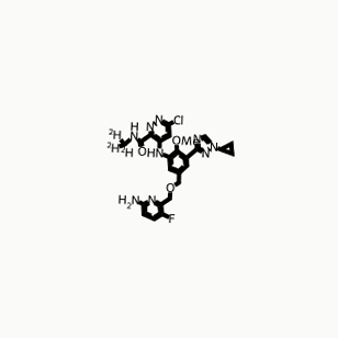 [2H]C([2H])([2H])NC(=O)c1nnc(Cl)cc1Nc1cc(COCc2nc(N)ccc2F)cc(-c2ncn(C3CC3)n2)c1OC